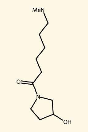 CNCCCCCC(=O)N1CCC(O)C1